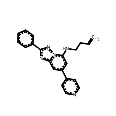 C=CCCNc1cc(-c2ccncc2)cc2nc(-c3ccccc3)nn12